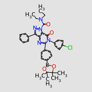 CCN(CC)C(=O)n1nc(-c2ccccc2)c2nc(-c3ccc(B4OC(C)(C)C(C)(C)O4)cc3)n(-c3ccc(Cl)cc3)c(=O)c21